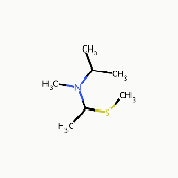 CSC(C)N(C)C(C)C